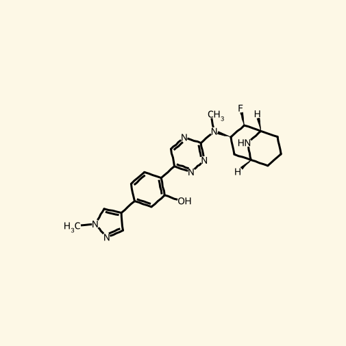 CN(c1ncc(-c2ccc(-c3cnn(C)c3)cc2O)nn1)[C@@H]1C[C@H]2CCC[C@H](N2)[C@@H]1F